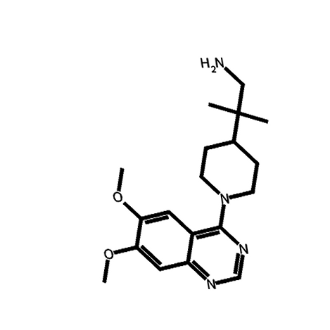 COc1cc2ncnc(N3CCC(C(C)(C)CN)CC3)c2cc1OC